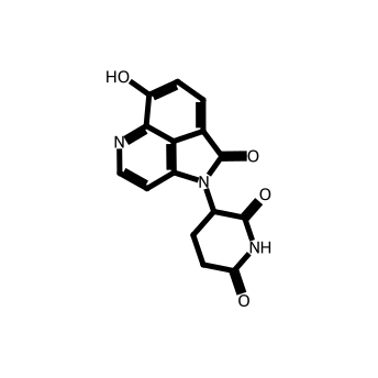 O=C1CCC(N2C(=O)c3ccc(O)c4nccc2c34)C(=O)N1